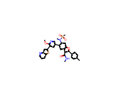 CNC(=O)c1c(-c2ccc(C)cc2)oc2cc(N(C)S(C)(=O)=O)c(-c3cnc(OC)c(-c4cc5ncccc5s4)c3)cc12